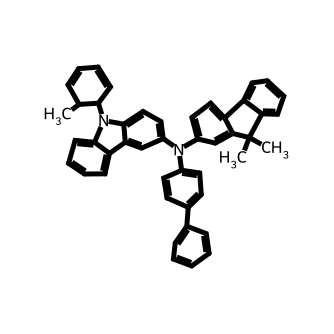 CC1C=CC=CC1n1c2ccccc2c2cc(N(c3ccc(-c4ccccc4)cc3)c3ccc4c(c3)C(C)(C)c3ccccc3-4)ccc21